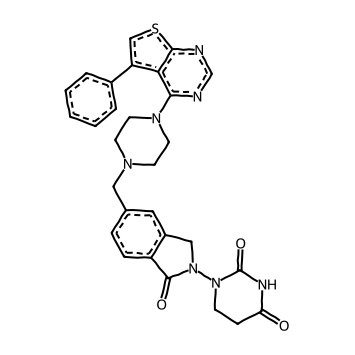 O=C1CCN(N2Cc3cc(CN4CCN(c5ncnc6scc(-c7ccccc7)c56)CC4)ccc3C2=O)C(=O)N1